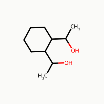 CC(O)C1CCCCC1C(C)O